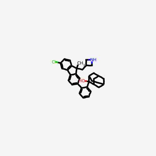 CC1(CC2CNC2)c2ccc(Cl)cc2-c2ccc(-c3ccccc3C3(O)C4CC5CC(C4)CC3C5)cc21